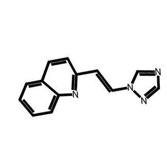 C(=Cn1cncn1)c1ccc2ccccc2n1